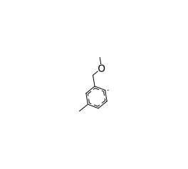 COCc1[c]ccc(C)c1